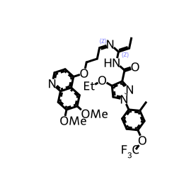 C/C=C(\N=C/CCOc1ccnc2cc(OC)c(OC)cc12)NC(=O)c1nn(-c2ccc(OC(F)(F)F)cc2C)cc1OCC